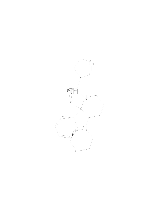 N=CC1(c2ccccc2)C(N2CCOCC2)[CH]CCN1C(=O)C1CCNO1